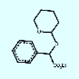 CCOC(=O)C(OC1CCCCO1)c1ccccc1